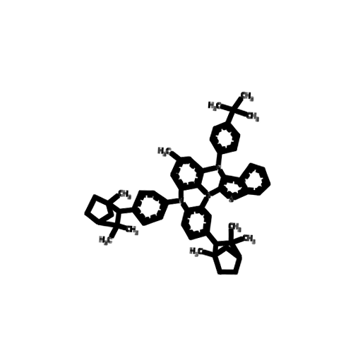 Cc1cc2c3c(c1)N(c1ccc(C(C)(C)C)cc1)c1c(sc4ccccc14)B3c1cc(C3C4(C)CCC(C4)C3(C)C)ccc1N2c1ccc(C2C3(C)CCC(C3)C2(C)C)cc1